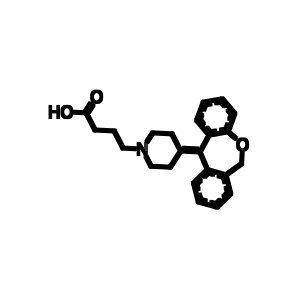 O=C(O)CCCN1CCC(=C2c3ccccc3COc3ccccc32)CC1